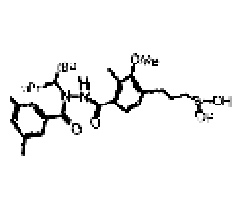 CCCC(N(NC(=O)c1ccc(CCCB(O)O)c(OC)c1C)C(=O)c1cc(C)cc(C)c1)C(C)(C)C